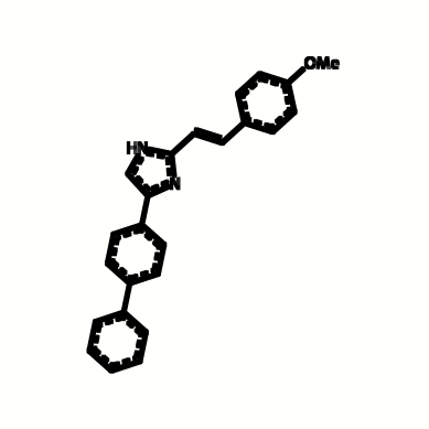 COc1ccc(/C=C/c2nc(-c3ccc(-c4ccccc4)cc3)c[nH]2)cc1